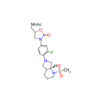 CC(=O)NCC1CN(c2ccc(N3CC4CCCN(S(C)(=O)=O)[C@H]4C3)c(F)c2)C(=O)O1